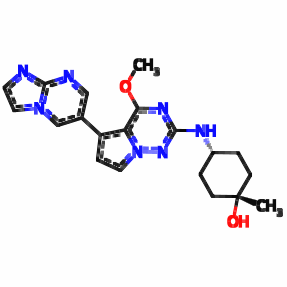 COc1nc(N[C@H]2CC[C@@](C)(O)CC2)nn2ccc(-c3cnc4nccn4c3)c12